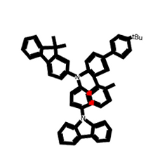 Cc1ccccc1-c1cc(-c2ccc(C(C)(C)C)cc2)ccc1N(c1ccc(-n2c3ccccc3c3ccccc32)cc1)c1ccc2c(c1)C(C)(C)c1ccccc1-2